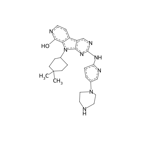 CC1(C)CCC(n2c3nc(Nc4ccc(N5CCNCC5)cn4)ncc3c3ccnc(O)c32)CC1